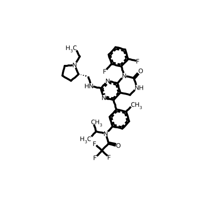 CCN1CCC[C@H]1CNc1nc(-c2cc(N(C(=O)C(F)(F)F)C(C)C)ccc2C)c2c(n1)N(c1c(F)cccc1F)C(=O)NC2